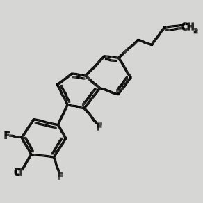 C=CCCc1ccc2c(F)c(-c3cc(F)c(Cl)c(F)c3)ccc2c1